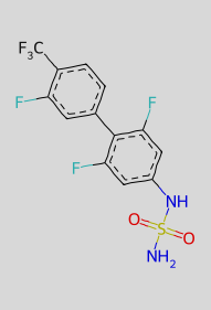 NS(=O)(=O)Nc1cc(F)c(-c2ccc(C(F)(F)F)c(F)c2)c(F)c1